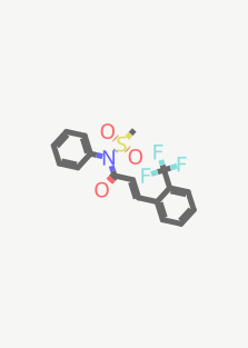 CS(=O)(=O)N(C(=O)C=Cc1ccccc1C(F)(F)F)c1ccccc1